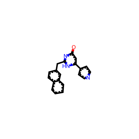 O=c1cc(-c2ccncc2)[nH]c(Cc2ccc3ccccc3c2)n1